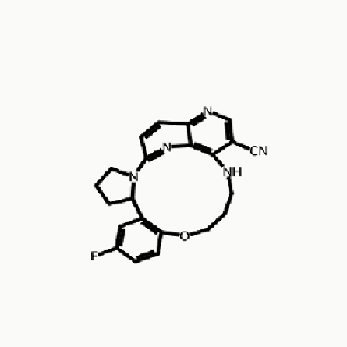 N#Cc1cnc2ccc3nc2c1NCCCOc1ccc(F)cc1C1CCCN31